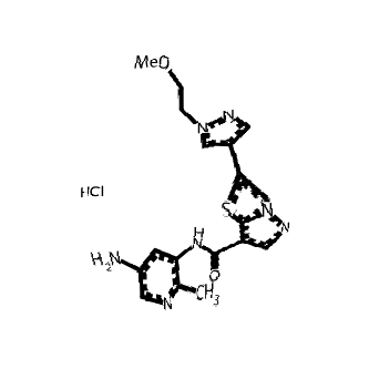 COCCn1cc(-c2cn3ncc(C(=O)Nc4cc(N)cnc4C)c3s2)cn1.Cl